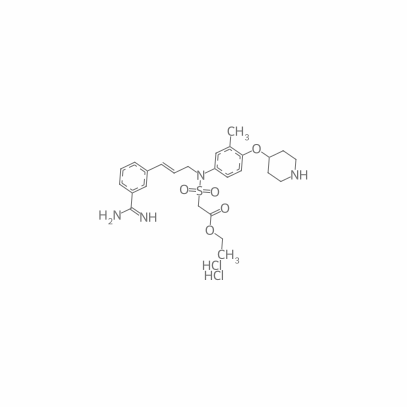 CCOC(=O)CS(=O)(=O)N(C/C=C/c1cccc(C(=N)N)c1)c1ccc(OC2CCNCC2)c(C)c1.Cl.Cl